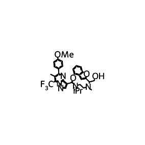 COc1ccc(-c2nc3c(C(=O)N(CCN(C)C(CO)c4cc5ccccc5o4)C(C)C)cnn3c(C(F)(F)F)c2C)cc1